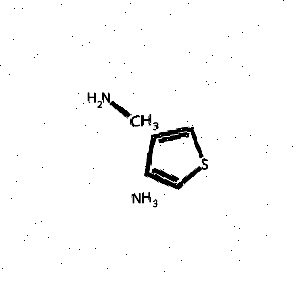 CN.N.c1ccsc1